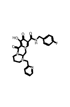 O=C(NCc1ccc(F)cc1)c1cn2c(c(O)c1=O)C(=O)N1CCCN(Cc3ccccn3)C1C2